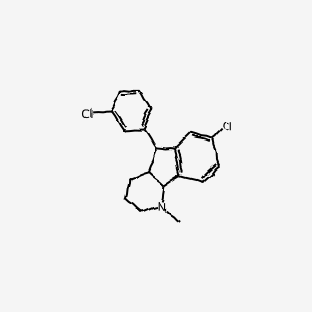 CN1CCCC2C(c3cccc(Cl)c3)c3cc(Cl)ccc3C21